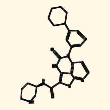 O=C(N[C@@H]1CCCNC1)c1sc2nccc3c2c1NC(=O)N3c1cccc(C2CCCCC2)c1